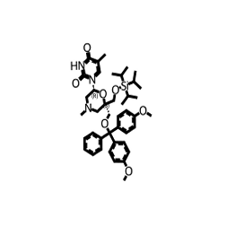 COc1ccc(C(OC[C@]2(CO[Si](C(C)C)(C(C)C)C(C)C)CN(C)C[C@H](n3cc(C)c(=O)[nH]c3=O)O2)(c2ccccc2)c2ccc(OC)cc2)cc1